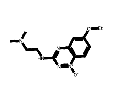 CCOc1ccc2c(c1)nc(NCCN(C)C)n[n+]2[O-]